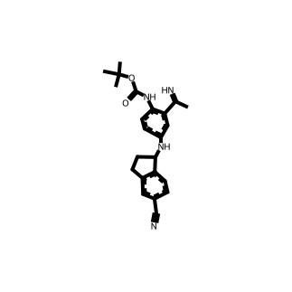 CC(=N)c1cc(NC2CCc3cc(C#N)ccc32)ccc1NC(=O)OC(C)(C)C